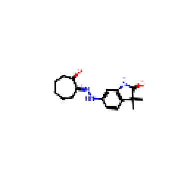 CC1(C)C(=O)Nc2cc(N/N=C3\CCCCCC3=O)ccc21